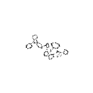 c1ccc(C2Nc3cccc4c3N2c2ccccc2C42c3ccccc3-c3c(-c4ccc5c(c4)c4ccccc4n5-c4ccccc4)cccc32)cc1